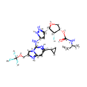 CC(C)NC(=O)O[C@H]1CO[C@@H](c2cc(Nc3nc(C4CC4)cc4nc(COC(F)(F)F)cn34)n[nH]2)[C@H]1F